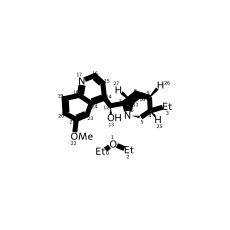 CCOCC.CC[C@H]1C[N@]2CC[C@H]1C[C@H]2[C@H](O)c1ccnc2ccc(OC)cc12